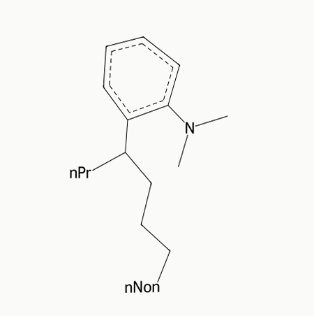 CCCCCCCCCCCCC(CCC)c1ccccc1N(C)C